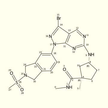 CNC(=O)[C@]1(C)CC[C@@H](Nc2ncc3c(Br)nn(-c4ccc5c(c4)CN(S(C)(=O)=O)C5)c3n2)C1